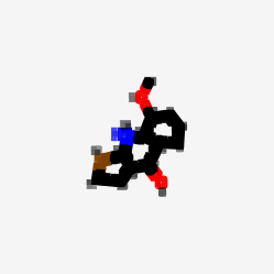 COc1cccc2c(=O)c3ccsc3[nH]c12